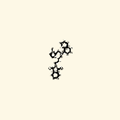 Cn1ccnc1CN(CCCCN1C(=O)c2ccccc2C1=O)C1CCCc2cccnc21